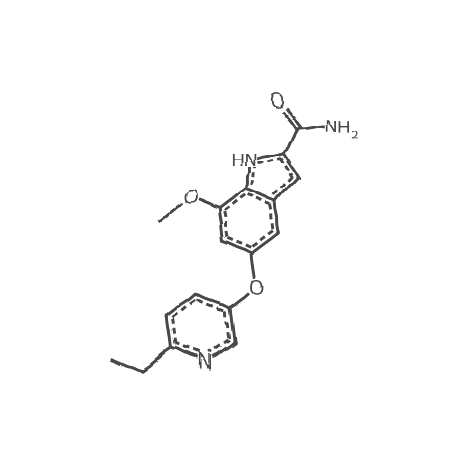 CCc1ccc(Oc2cc(OC)c3[nH]c(C(N)=O)cc3c2)cn1